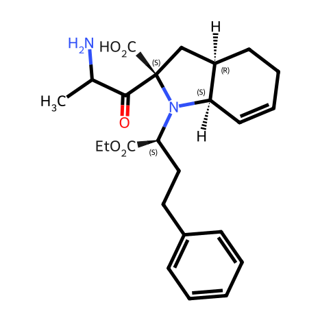 CCOC(=O)[C@H](CCc1ccccc1)N1[C@@H]2C=CCC[C@@H]2C[C@@]1(C(=O)O)C(=O)C(C)N